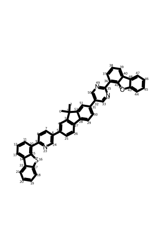 CC1(C)c2cc(-c3ccc(-c4cccc5c4sc4ccccc45)nc3)ccc2-c2ccc(-c3cnc(-c4cccc5c4oc4ccccc45)nc3)cc21